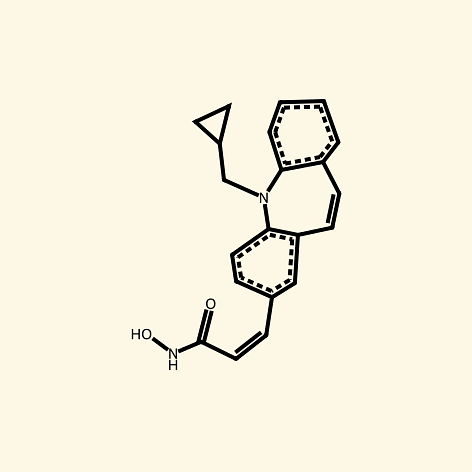 O=C(/C=C\c1ccc2c(c1)C=Cc1ccccc1N2CC1CC1)NO